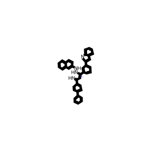 N=C(/C=C(\NNc1ccc2ccccc2c1)c1cccc(-c2cnc3ccccc3c2)c1)c1ccc(-c2ccccc2)cc1